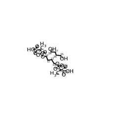 CC(S(=O)(=O)O)S(=O)(=O)OCCCCOS(=O)(=O)C(C)S(=O)(=O)O.OCCCCO